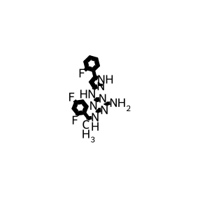 CC(Nc1nc(N)nc(Nc2cc(-c3ccccc3F)[nH]n2)n1)c1ccc(F)cc1F